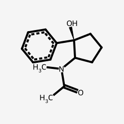 CC(=O)N(C)C1CCC[C@@]1(O)c1ccccc1